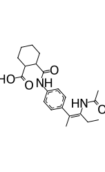 CC/C(NC(C)=O)=C(\C)c1ccc(NC(=O)C2CCCCC2C(=O)O)cc1